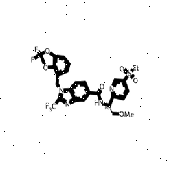 CCS(=O)(=O)c1ccc([C@H](COC)NC(=O)c2ccc3c(c2)nc(C(F)(F)F)n3Cc2cccc3c2OC(F)(F)O3)nc1